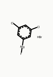 Br.[F][Mg][c]1cc(Cl)cc(Cl)c1